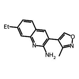 CCc1ccc2cc(-c3conc3C)c(N)nc2c1